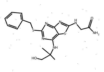 CC(C)(CO)Nc1nc(SCc2ccccc2)nc2nc(NCC(N)=O)sc12